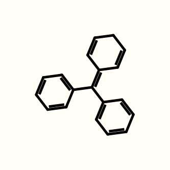 C1=CC(=C(c2ccccc2)c2ccccc2)C=CC1